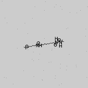 CC(C)NC(=O)CNC(=O)CCCCCCCCCCC(=O)NCCCCCCOC(C)C